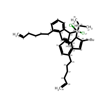 C=CCCCCc1cccc2c1C=C(CCCC)[CH]2[Zr]([Cl])([Cl])([CH]1C(CCCC)=Cc2c(CCCCC=C)cccc21)[SiH](C)C